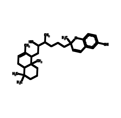 CC1=CCC2C(C)(C)CCCC2(C)C1CC(O)C(C)CCCC1(C)C=Cc2cc(O)ccc2O1